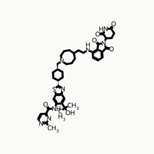 Cc1nccc(C(=O)Nc2cc3sc([C@H]4CC[C@H](CN5CCCC(CCNc6cccc7c6C(=O)N(C6CCC(=O)NC6=O)C7=O)CCC5)CC4)nc3cc2C(C)(C)O)n1